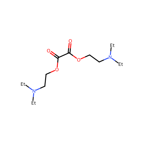 CCN(CC)CCOC(=O)C(=O)OCCN(CC)CC